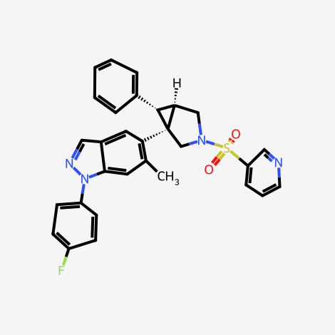 Cc1cc2c(cnn2-c2ccc(F)cc2)cc1[C@@]12CN(S(=O)(=O)c3cccnc3)C[C@@H]1[C@H]2c1ccccc1